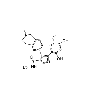 CCNC(=O)c1coc(-c2cc(C(C)C)c(O)cc2O)c1-c1ccc2c(c1)CCN(C)C2